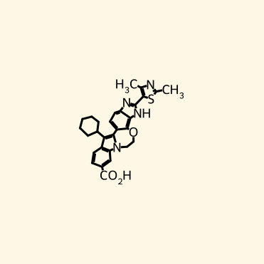 Cc1nc(C)c(-c2nc3ccc4c(c3[nH]2)OCCn2c-4c(C3CCCCC3)c3ccc(C(=O)O)cc32)s1